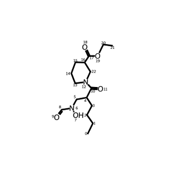 CCCCC(CN(O)C=O)C(=O)N1CCCC(C(=O)OCC)C1